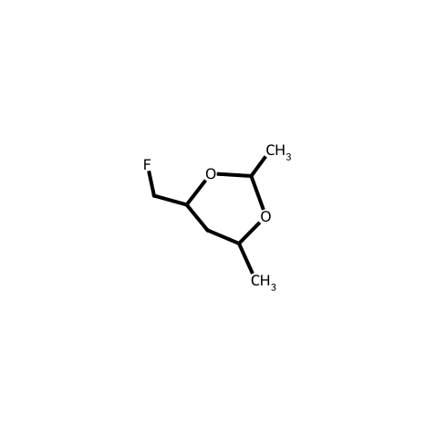 CC1CC(CF)OC(C)O1